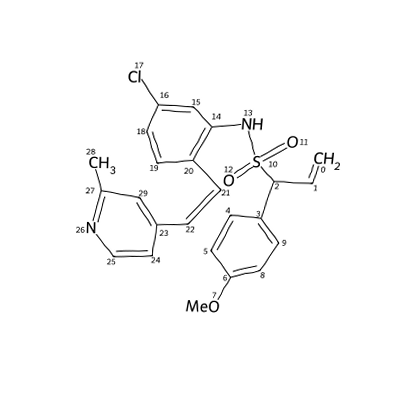 C=CC(c1ccc(OC)cc1)S(=O)(=O)Nc1cc(Cl)ccc1C=Cc1ccnc(C)c1